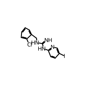 N=C(NCc1ccccc1Cl)Nc1ccc(I)cn1